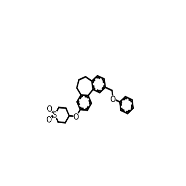 O=S1(=O)CCC(Oc2ccc3c(c2)CCCc2ccc(COc4ccccc4)cc2-3)CC1